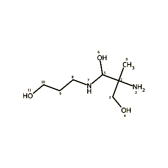 CC(N)(CO)C(O)NCCCO